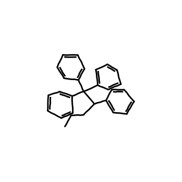 CCCC(c1ccccc1)C(c1ccccc1)(c1ccccc1)c1ccccc1